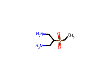 CCS(=O)(=O)C(CN)CN